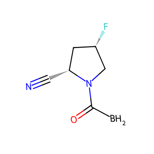 BC(=O)N1C[C@@H](F)C[C@H]1C#N